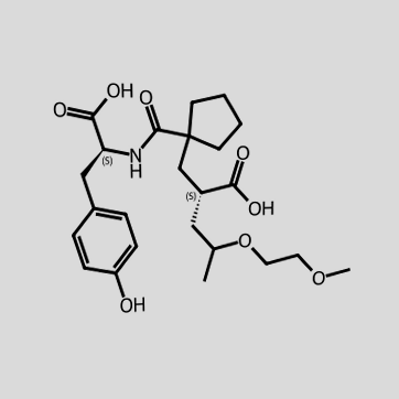 COCCOC(C)C[C@H](CC1(C(=O)N[C@@H](Cc2ccc(O)cc2)C(=O)O)CCCC1)C(=O)O